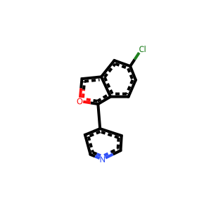 Clc1ccc2c(-c3ccncc3)occ2c1